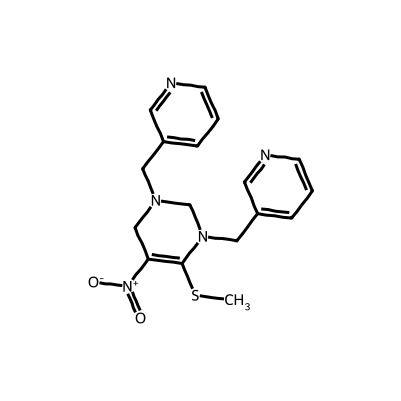 CSC1=C([N+](=O)[O-])CN(Cc2cccnc2)CN1Cc1cccnc1